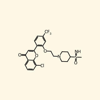 CS(=N)(=O)C1CCN(CCOc2cc(C(F)(F)F)ccc2-c2cc(=O)c3cccc(Cl)c3o2)CC1